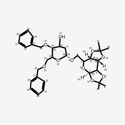 CC1(C)OC2[C@H](OC(CO[C@H]3CC(O)[C@H](OCc4ccccc4)C(COCc4ccccc4)O3)[C@@H]3OC(C)(C)O[C@H]23)O1